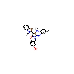 CCNc1ccc(C#N)cc1/N=C1\S/C(=C2\Sc3ccccc3N2C)C(=O)N1Cc1cccc(O)c1